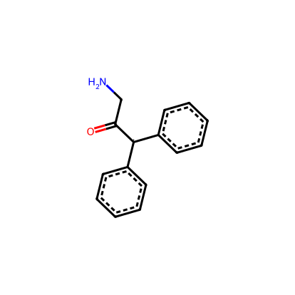 NCC(=O)[C](c1ccccc1)c1ccccc1